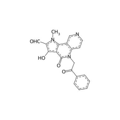 Cn1c(C=O)c(O)c2c(=O)n(CC(=O)c3ccccc3)c3ccncc3c21